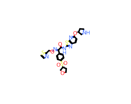 O=C(Nc1nc2ccc(O[C@@H]3CCNC3)nc2s1)/C(=N/OCc1nccs1)c1ccc(S(=O)(=O)[C@H]2CCOC2)cc1